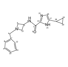 O=C(NC1CN(Cc2ccccc2)C1)c1ncc(C2CC2)[nH]1